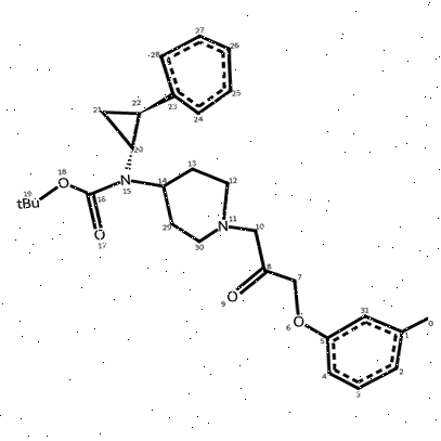 Cc1cccc(OCC(=O)CN2CCC(N(C(=O)OC(C)(C)C)[C@@H]3C[C@H]3c3ccccc3)CC2)c1